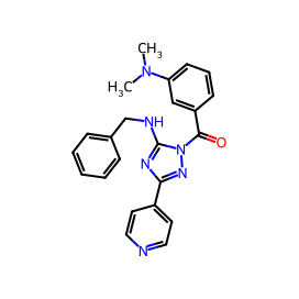 CN(C)c1cccc(C(=O)n2nc(-c3ccncc3)nc2NCc2ccccc2)c1